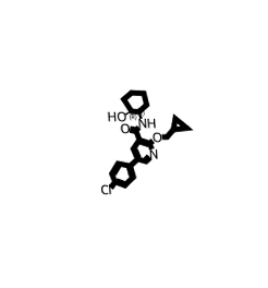 O=C(N[C@@H]1CCCC[C@H]1O)c1cc(-c2ccc(Cl)cc2)cnc1OCC1CC1